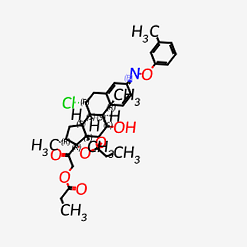 CCC(=O)OCC(=O)[C@@]1(OC(=O)CC)[C@H](C)C[C@H]2[C@H]3[C@H]([C@@H](O)C[C@@]21C)[C@@]1(C)C=C/C(=N\Oc2cccc(C)c2)C=C1C[C@H]3Cl